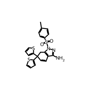 Cc1ccc(S(=O)(=O)n2nc(N)c3c2CC(c2cccs2)(c2cccs2)C=C3)cc1